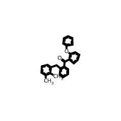 Cc1cccc(Cc2ccccc2C(=O)c2ccccc2Oc2ccccc2)c1C